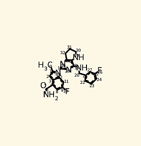 Cc1cc2c(C(N)=O)cc(F)cc2n1-c1nc2c(c(NCc3cccc(F)c3)n1)NCCC2